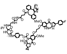 COc1cc2c(cc1OCCCOc1cc3c(cc1OC)C(=O)N1CC4(CC4)C[C@H]1C(O)N3C(=O)OCc1ccc(NC(=O)[C@H](C)NC(=O)[C@@H](NC(=O)CNC(=O)CNC(=O)CCC(=O)N3Cc4ccccc4-c4nnn(C(C)C)c4-c4ccccc43)C(C)C)cc1)NC[C@@H]1CC(c3ccc(F)cc3)=CN1C2=O